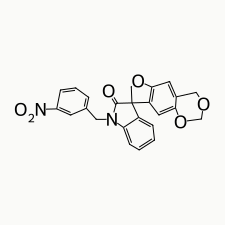 O=C1N(Cc2cccc([N+](=O)[O-])c2)c2ccccc2C12COc1cc3c(cc12)OCOC3